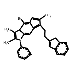 CC1=CC2=C(Br)C3C(=CC2=C1CCC1=Cc2ccccc2C1)N(c1ccccc1)C(C)=C3C